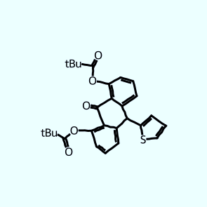 CC(C)(C)C(=O)Oc1cccc2c1C(=O)c1c(OC(=O)C(C)(C)C)cccc1C2c1cccs1